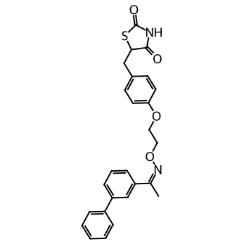 CC(=NOCCOc1ccc(CC2SC(=O)NC2=O)cc1)c1cccc(-c2ccccc2)c1